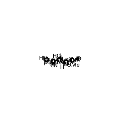 COc1nc(Nc2nccc(-c3ccc(O[C@H]4CCNC[C@H]4F)c(C#N)c3)n2)ccc1N1CCN(C2COC2)CC1.Cl